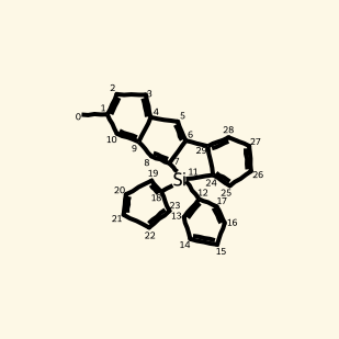 Cc1ccc2cc3c(cc2c1)[Si](c1ccccc1)(c1ccccc1)c1ccccc1-3